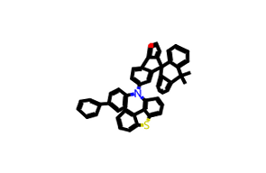 CC1(C)c2ccccc2C2(c3ccccc3-c3ccc(N(c4ccc(-c5ccccc5)cc4)c4cccc5sc6ccccc6c45)cc32)c2ccccc21